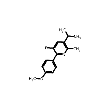 COc1ccc(-c2nc(C)c(C(C)C)cc2F)cc1